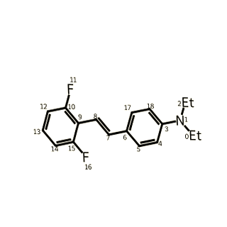 CCN(CC)c1ccc(C=Cc2c(F)cccc2F)cc1